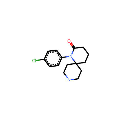 O=C1CCCC2(CCNCC2)N1c1ccc(Cl)cc1